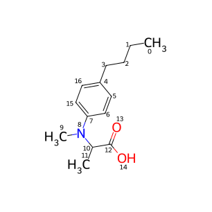 CCCCc1ccc(N(C)C(C)C(=O)O)cc1